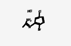 CC(N)=Nc1cc(Cl)ccc1Br.Cl